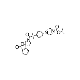 CC(C)OC(=O)N1CCN(c2ccc(C(C)(C)C(=O)N3CC[C@@]4(C3)OC(=O)c3ccccc34)cc2)CC1